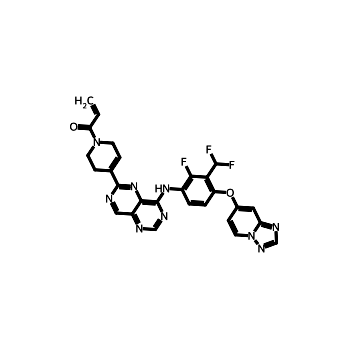 C=CC(=O)N1CC=C(c2ncc3ncnc(Nc4ccc(Oc5ccn6ncnc6c5)c(C(F)F)c4F)c3n2)CC1